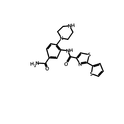 NC(=O)c1ccc(N2CCNCC2)c(NC(=O)c2csc(-c3cccs3)n2)c1